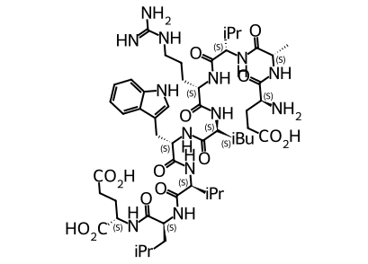 CC[C@H](C)[C@H](NC(=O)[C@H](CCCNC(=N)N)NC(=O)[C@@H](NC(=O)[C@H](C)NC(=O)[C@@H](N)CCC(=O)O)C(C)C)C(=O)N[C@@H](Cc1c[nH]c2ccccc12)C(=O)N[C@H](C(=O)N[C@@H](CC(C)C)C(=O)N[C@@H](CCC(=O)O)C(=O)O)C(C)C